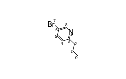 CCCc1ccc(Br)cn1